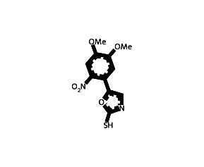 COc1cc(-c2cnc(S)o2)c([N+](=O)[O-])cc1OC